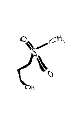 CS(=O)(=O)CO